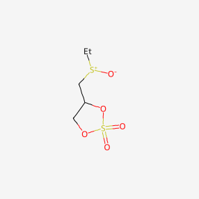 CC[S+]([O-])CC1COS(=O)(=O)O1